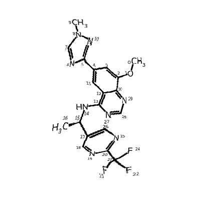 COc1cc(-c2ncn(C)n2)cc2c(N[C@H](C)c3cnc(C(F)(F)F)nc3)ncnc12